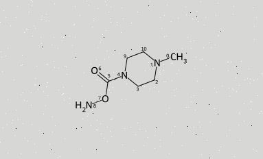 CN1CCN(C(=O)ON)CC1